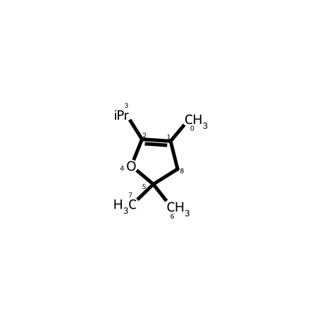 CC1=C(C(C)C)OC(C)(C)C1